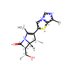 CCc1ncn2cc(C3=C(C(=O)O)N4C(=O)[C@H]([C@@H](C)O)[C@H]4[C@H]3C)sc12